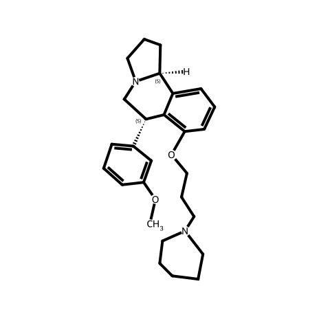 COc1cccc([C@@H]2CN3CCC[C@H]3c3cccc(OCCCN4CCCCC4)c32)c1